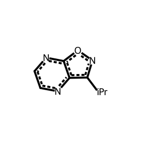 CC(C)c1noc2nccnc12